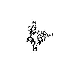 O=C(O)C(F)(F)F.O=C1NCCc2[nH]c(-c3ccnc(C=Cc4ccccc4N4CCOCC4)c3)cc21